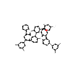 Cc1cc(C)cc(-c2ccc3c(c2)c2ccccc2n3-c2ccc(C#N)cc2-c2cc(-c3ccc(C(F)(F)F)cc3C(F)(F)F)ccc2-n2c3ccccc3c3cc(-c4cc(C)cc(C)c4)ccc32)c1